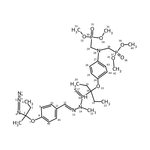 CCC(C)(N=[N+]=[N-])Oc1ccc(/C=N/N(C)[PH](=S)C(CC)(CC)Oc2ccc(N(CP(=O)(OC)OC)CP(=O)(OC)OC)cc2)cc1